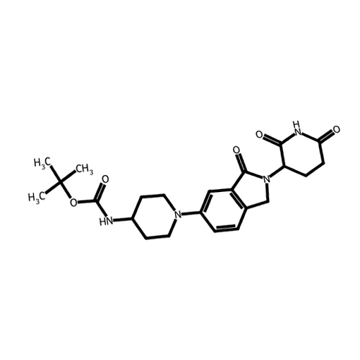 CC(C)(C)OC(=O)NC1CCN(c2ccc3c(c2)C(=O)N(C2CCC(=O)NC2=O)C3)CC1